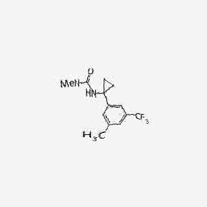 CNC(=O)NC1(c2cc(C)cc(C(F)(F)F)c2)CC1